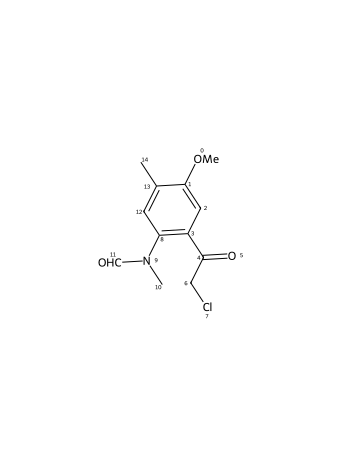 COc1cc(C(=O)CCl)c(N(C)C=O)cc1C